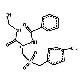 N#CCNC(=O)[C@H](CS(=O)(=O)Cc1ccc(C(F)(F)F)cc1)NC(=O)c1ccccc1